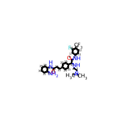 CN(C)CCNC(C(=O)Nc1ccc(C(F)(F)F)c(F)c1)c1ccc(C=CC(=O)Nc2ccccc2N)cc1